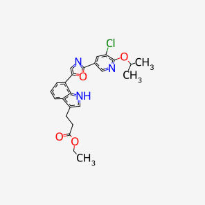 CCOC(=O)CCc1c[nH]c2c(-c3cnc(-c4cnc(OC(C)C)c(Cl)c4)o3)cccc12